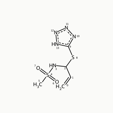 C=CC(NS(C)(=O)=O)Sc1nnn[nH]1